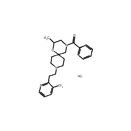 CC1CN(C(=O)c2ccccc2)CC2(CCN(CCc3ncccc3C(F)(F)F)CC2)O1.Cl